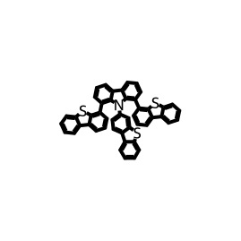 c1ccc2c(c1)sc1cc(-n3c4c(-c5cccc6c5sc5ccccc56)cccc4c4cccc(-c5cccc6c5sc5ccccc56)c43)ccc12